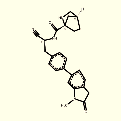 CN1C(=O)Cc2ccc(-c3ccc(C[C@@H](C#N)NC(=O)[C@@]45CC[C@H](CN4)C5)cc3)cc21